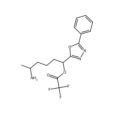 CC(N)CCCC(OC(=O)C(F)(F)F)c1nnc(-c2ccccc2)o1